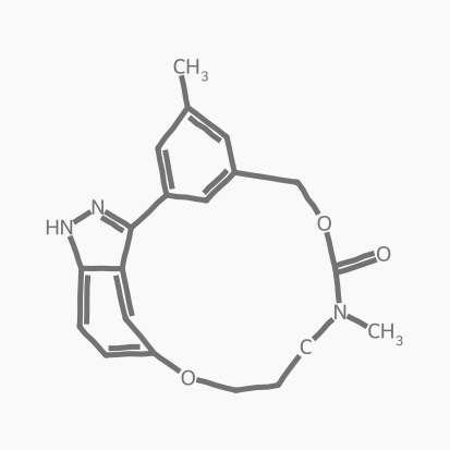 Cc1cc2cc(c1)-c1n[nH]c3ccc(cc13)OCCCN(C)C(=O)OC2